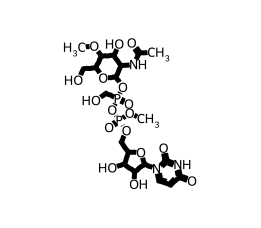 COC1C(CO)OC(OP(=O)(CO)OP(=O)(OC)OCC2OC(n3ccc(=O)[nH]c3=O)C(O)C2O)C(NC(C)=O)C1O